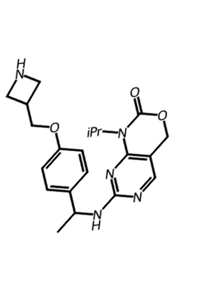 CC(Nc1ncc2c(n1)N(C(C)C)C(=O)OC2)c1ccc(OCC2CNC2)cc1